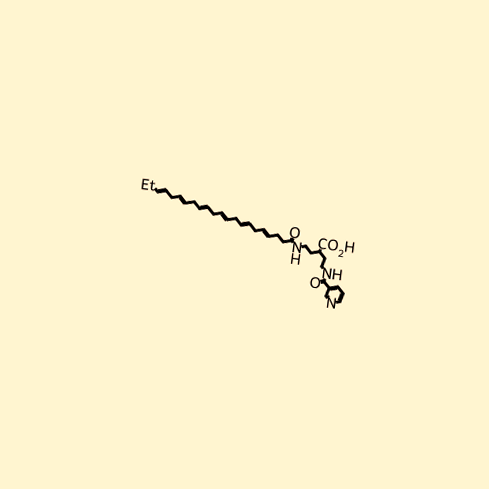 CCC=CCC=CCC=CCC=CCC=CCC=CCCC(=O)NCCC(CCNC(=O)c1cccnc1)C(=O)O